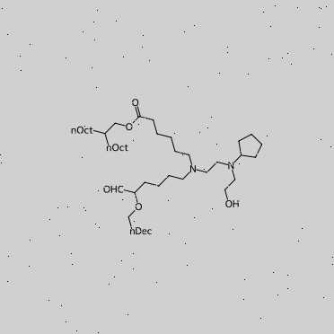 CCCCCCCCCCCOC(C=O)CCCCN(CCCCCC(=O)OCC(CCCCCCCC)CCCCCCCC)CCN(CCO)C1CCCC1